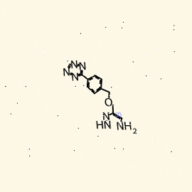 N=N/C(=C\N)COCc1ccc(-c2nncnn2)cc1